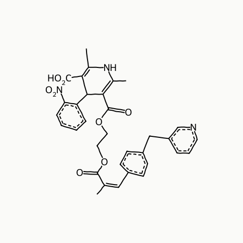 CC(=Cc1ccc(Cc2cccnc2)cc1)C(=O)OCCOC(=O)C1=C(C)NC(C)=C(C(=O)O)C1c1ccccc1[N+](=O)[O-]